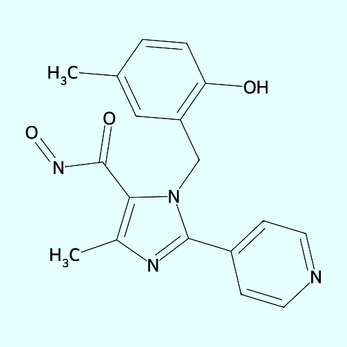 Cc1ccc(O)c(Cn2c(-c3ccncc3)nc(C)c2C(=O)N=O)c1